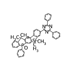 CC1(C)c2ccccc2P(=O)(c2ccccc2)c2cc3c(cc21)-c1ccc(-c2nc(-c4ccccc4)nc(-c4ccccc4)n2)cc1[Si]3(C)C